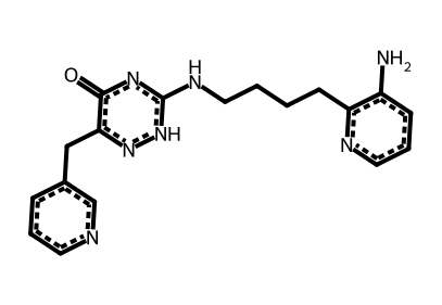 Nc1cccnc1CCCCNc1nc(=O)c(Cc2cccnc2)n[nH]1